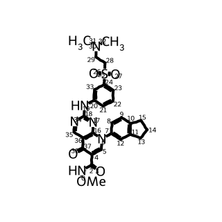 CONC(=O)c1cn(-c2ccc3c(c2)CCC3)c2nc(Nc3cccc(S(=O)(=O)CCN(C)C)c3)ncc2c1=O